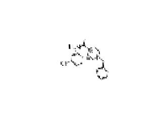 CC(N)[C@H]1CCN(Cc2ccccc2)C[C@@H]1C1C=CC(Cl)=CC1